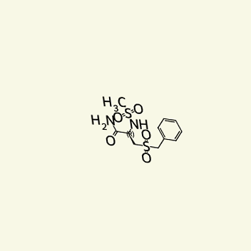 CS(=O)(=O)N[C@@H](CS(=O)(=O)Cc1ccccc1)C(N)=O